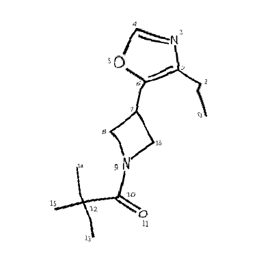 CCc1ncoc1C1CN(C(=O)C(C)(C)C)C1